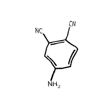 N#Cc1ccc(N)cc1C#N